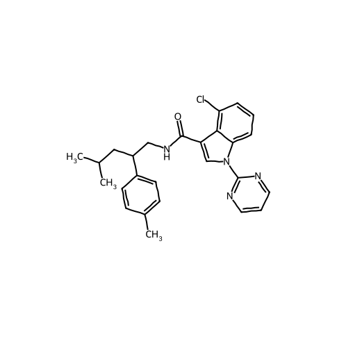 Cc1ccc(C(CNC(=O)c2cn(-c3ncccn3)c3cccc(Cl)c23)CC(C)C)cc1